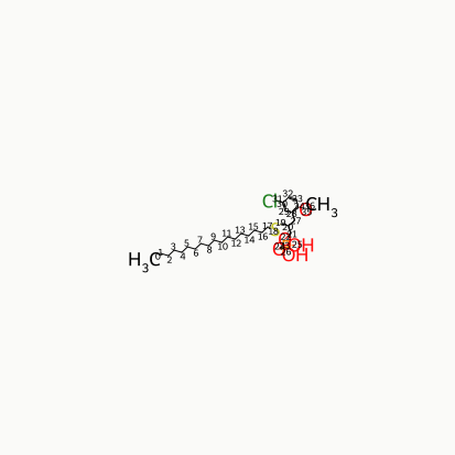 CCCCCCCCCCCCCCCCCCSCC(COP(=O)(O)O)Cc1cc(Cl)ccc1OC